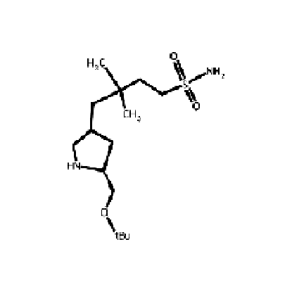 CC(C)(CCS(N)(=O)=O)CC1CN[C@H](COC(C)(C)C)C1